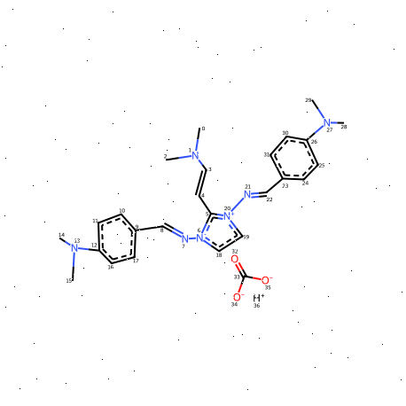 CN(C)/C=C/c1n(/N=C/c2ccc(N(C)C)cc2)cc[n+]1/N=C/c1ccc(N(C)C)cc1.O=C([O-])[O-].[H+]